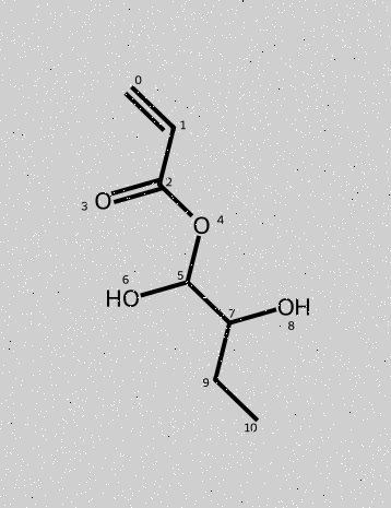 C=CC(=O)OC(O)C(O)CC